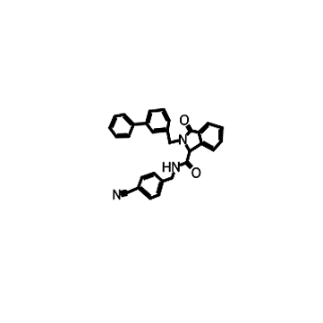 N#Cc1ccc(CNC(=O)C2c3ccccc3C(=O)N2Cc2cccc(-c3ccccc3)c2)cc1